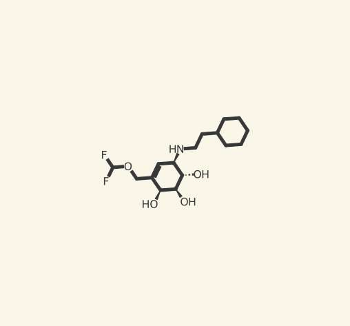 O[C@@H]1[C@@H](O)[C@@H](O)C(COC(F)F)=C[C@H]1NCCC1CCCCC1